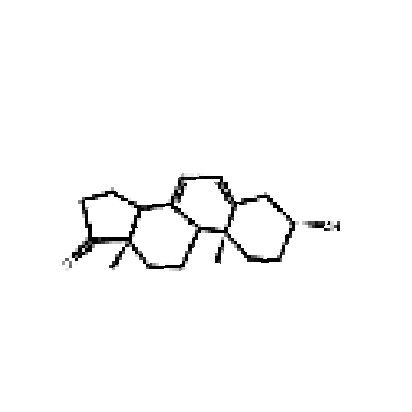 C[C@]12CC[C@H](O)CC1=CC=C1C2CC[C@]2(C)C(=O)CCC12